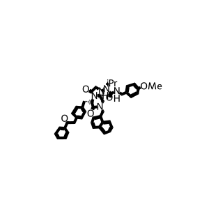 COc1ccc(CNC(=O)N(C(C)C)N2CC(=O)N3[C@@H](Cc4ccc(CC(=O)c5ccccc5)cc4)C(=O)N(Cc4cccc5ccccc45)C[C@@H]32)cc1